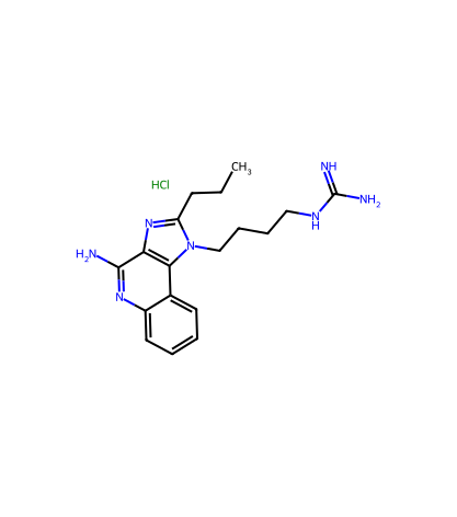 CCCc1nc2c(N)nc3ccccc3c2n1CCCCNC(=N)N.Cl